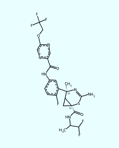 CC(NC(=O)[C@]12CC1[C@@](C)(c1cc(NC(=O)c3cnc(OCC(F)(F)F)cn3)ccc1F)N=C(N)S2)C(F)F